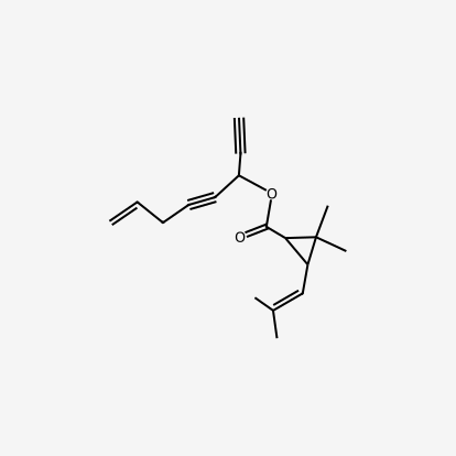 C#CC(C#CCC=C)OC(=O)C1C(C=C(C)C)C1(C)C